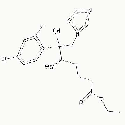 CCOC(=O)CCCC(S)C(O)(Cn1ccnc1)c1ccc(Cl)cc1Cl